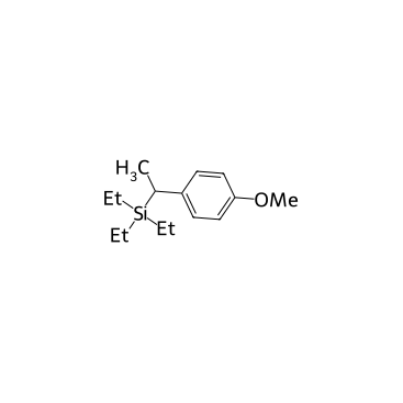 CC[Si](CC)(CC)C(C)c1ccc(OC)cc1